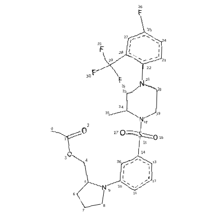 CC(=O)OCC1CCCN1c1cccc(S(=O)(=O)N2CCN(c3ccc(F)cc3C(F)(F)F)CC2C)c1